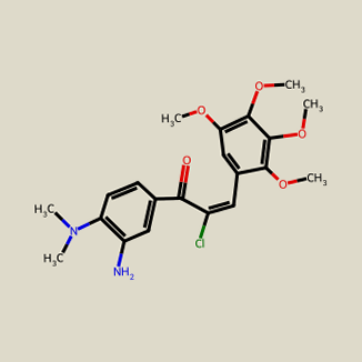 COc1cc(/C=C(/Cl)C(=O)c2ccc(N(C)C)c(N)c2)c(OC)c(OC)c1OC